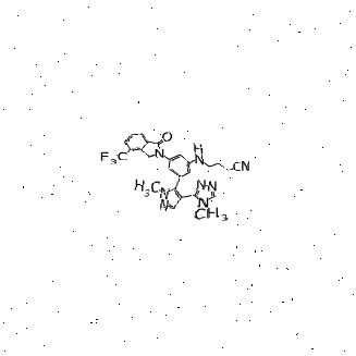 Cn1cnnc1-c1cnn(C)c1-c1cc(NCCCC#N)cc(N2Cc3c(cccc3C(F)(F)F)C2=O)c1